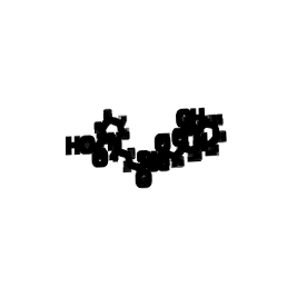 O=C(CCCN1CCCCC1C(=O)O)[Se][Se]C(=O)CCCN1CCCCC1C(=O)O